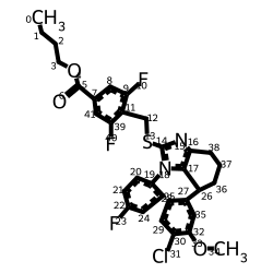 CCCCOC(=O)c1cc(F)c(CSc2nc3c(n2-c2ccc(F)cc2)C(c2ccc(Cl)c(OC)c2)CCC3)c(F)c1